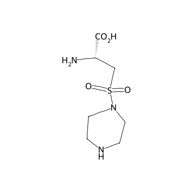 N[C@@H](CS(=O)(=O)N1CCNCC1)C(=O)O